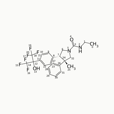 CCNC(=O)N1C[C@@H](c2ccc(C(O)(C(F)(F)F)C(F)(F)F)cc2)[C@@](C)(c2ccccc2)C1